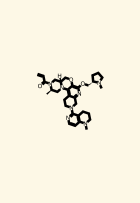 C=CC(=O)N1C[C@@H]2COc3c(OC[C@@H]4CCCN4C)nc4c(c3N2C[C@H]1C)CCN(c1nccc2c1CCCN2C)C4